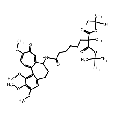 COc1cc2c(c(OC)c1OC)-c1ccc(OC)c(=O)cc1C(NC(=O)CCCCCC(C)(C(=O)OC(C)(C)C)C(=O)OC(C)(C)C)CC2